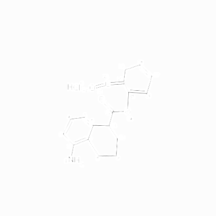 Cl.Nc1cccc2c1CCCC2C(=O)OC1=CC=CCC1=C=O